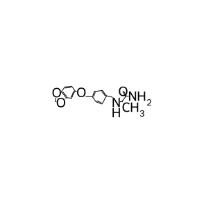 C[C@H](NCc1ccc(COc2ccc3c(c2)OCO3)cc1)C(N)=O